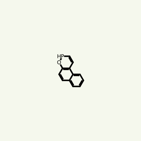 C1=Cc2c(ccc3ccccc23)OP1